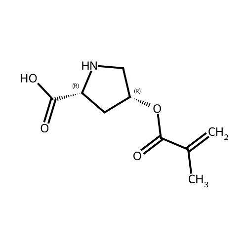 C=C(C)C(=O)O[C@H]1CN[C@@H](C(=O)O)C1